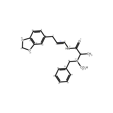 CC(C(=O)N/C=C/Cc1ccc2c(c1)OCO2)N(Cc1ccccc1)C(=O)O